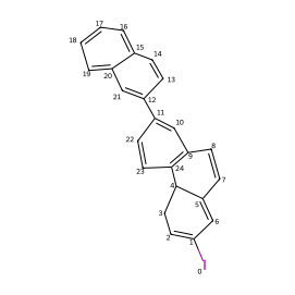 IC1=CCC2C(=C1)C=Cc1cc(-c3ccc4ccccc4c3)ccc12